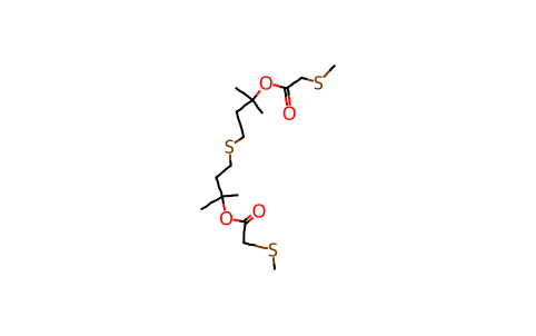 CSCC(=O)OC(C)(C)CCSCCC(C)(C)OC(=O)CSC